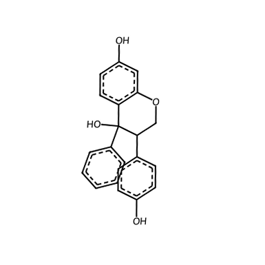 Oc1ccc(C2COc3cc(O)ccc3C2(O)c2ccccc2)cc1